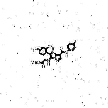 COC(=O)CNc1c(-c2ccc(C(F)(F)F)cc2C(F)(F)F)[nH]c2c(C(=O)Nc3ccc(F)cc3)cnn12